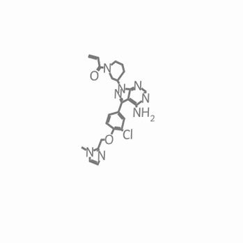 C=CC(=O)N1CCCC(n2nc(-c3ccc(OCc4nccn4C)c(Cl)c3)c3c(N)ncnc32)C1